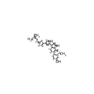 CCc1cc(O)ccc1-c1ccc2c(-c3nc(C4=CCN(CCN(C)C)C4)c[nH]3)n[nH]c2c1F